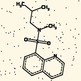 CC(C)CN(C)S(=O)(=O)c1cccc2cccnc12